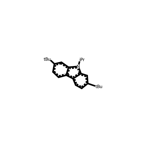 CC(C)n1c2cc(C(C)(C)C)ccc2c2ccc(C(C)(C)C)cc21